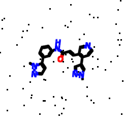 Cn1cc(-c2ccncc2/C=C/C(=O)Nc2cccc(-c3ccnn3C)c2)cn1